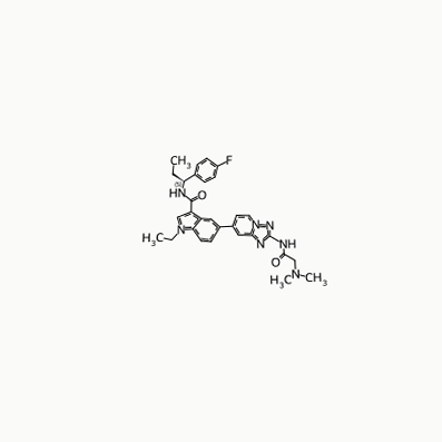 CC[C@H](NC(=O)c1cn(CC)c2ccc(-c3ccn4nc(NC(=O)CN(C)C)nc4c3)cc12)c1ccc(F)cc1